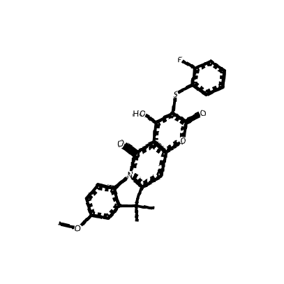 COc1ccc2c(c1)C(C)(C)c1cc3oc(=O)c(Sc4ccccc4F)c(O)c3c(=O)n1-2